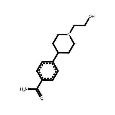 NC(=O)c1ccc(C2CCN(CCO)CC2)cc1